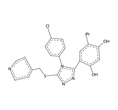 CC(C)c1cc(-c2nnc(SCc3ccncc3)n2-c2ccc(Cl)cc2)c(O)cc1O